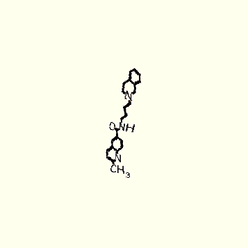 Cc1ccc2cc(C(=O)NCCCCN3CCc4ccccc4C3)ccc2n1